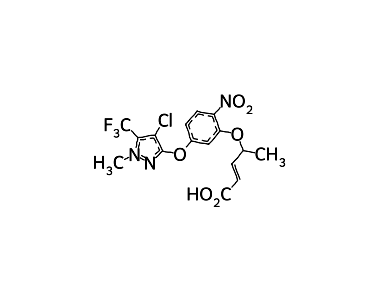 CC(C=CC(=O)O)Oc1cc(Oc2nn(C)c(C(F)(F)F)c2Cl)ccc1[N+](=O)[O-]